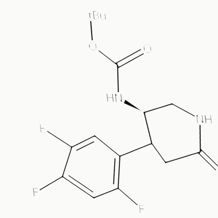 CC(C)(C)OC(=O)N[C@H]1CNC(=O)CC1c1cc(F)c(F)cc1F